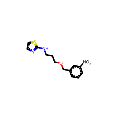 O=[N+]([O-])c1cccc(COCCCNc2nccs2)c1